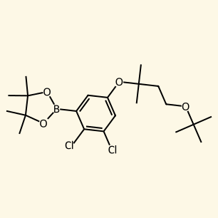 CC(C)(C)OCCC(C)(C)Oc1cc(Cl)c(Cl)c(B2OC(C)(C)C(C)(C)O2)c1